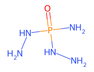 NNP(N)(=O)NN